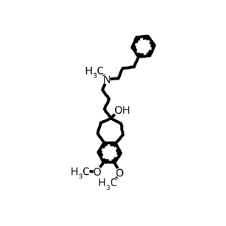 COc1cc2c(cc1OC)CCC(O)(CCCN(C)CCCc1ccccc1)CC2